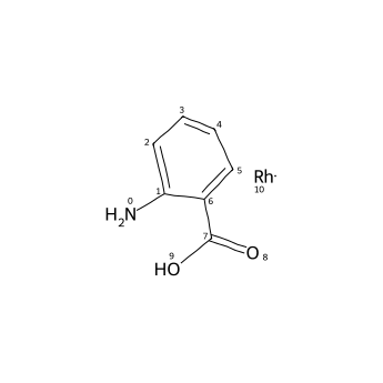 Nc1ccccc1C(=O)O.[Rh]